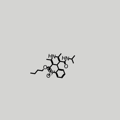 CCCCOC(=O)C1=C(C)NC(C)=C(C(=O)NC(C)C)C1c1ccccc1[N+](=O)[O-]